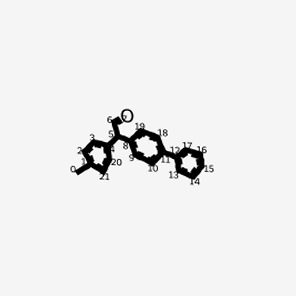 Cc1ccc(C(C=O)c2ccc(-c3ccccc3)cc2)cc1